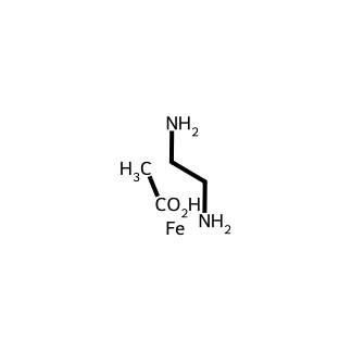 CC(=O)O.NCCN.[Fe]